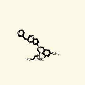 CCN(CCO)CCN(Cc1cc(OC)cc(OC)c1)c1ccc2ncc(Cc3cccnc3)nc2c1